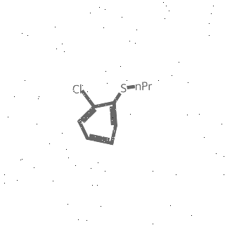 CCCSc1ccccc1Cl